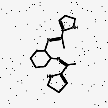 CC(=NC1CCCCC1N=C(C)C1=CCCN1)C1=CCCN1